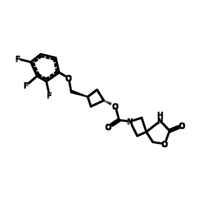 O=C1NC2(CO1)CN(C(=O)O[C@H]1C[C@H](COc3ccc(F)c(F)c3F)C1)C2